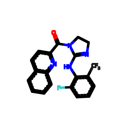 O=C(c1ccc2ccccc2n1)N1CCN=C1Nc1c(F)cccc1C(F)(F)F